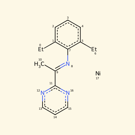 CCc1cccc(CC)c1N=C(C)c1ncccn1.[Ni]